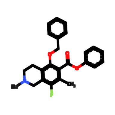 CCC(C)N1CCc2c(c(F)c(C)c(C(=O)Oc3ccccc3)c2OCc2ccccc2)C1